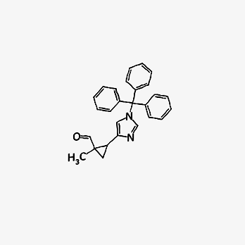 CC1(C=O)CC1c1cn(C(c2ccccc2)(c2ccccc2)c2ccccc2)cn1